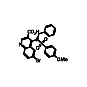 COc1ccc(S(=O)(=O)N(Cc2ccccc2)c2c(C(=O)O)cnc3ccc(Br)cc23)cc1